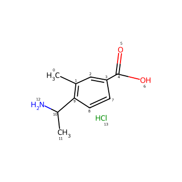 Cc1cc(C(=O)O)ccc1C(C)N.Cl